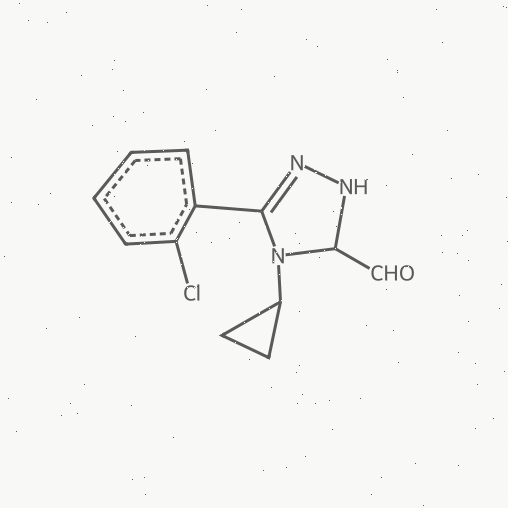 O=CC1NN=C(c2ccccc2Cl)N1C1CC1